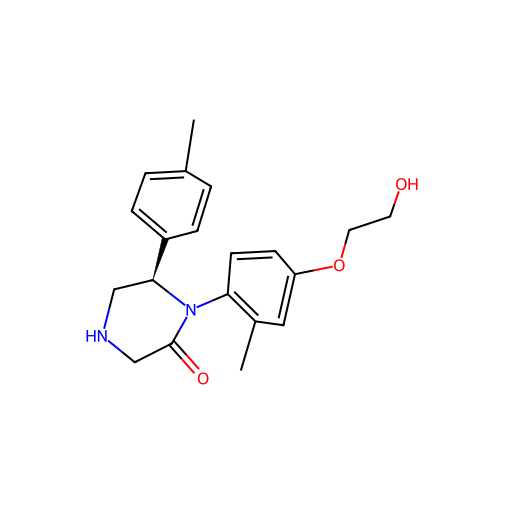 Cc1ccc([C@@H]2CNCC(=O)N2c2ccc(OCCO)cc2C)cc1